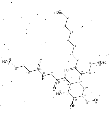 CCCCCCCCCCCCCCCCCC(=O)N(CCCCCCCCCCCC)[C@@H]1O[C@H](CO)[C@@H](O)[C@H](O)[C@H]1NC(=O)CNC(=O)CCCC(=O)O